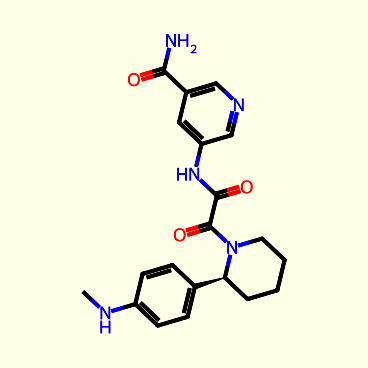 CNc1ccc([C@@H]2CCCCN2C(=O)C(=O)Nc2cncc(C(N)=O)c2)cc1